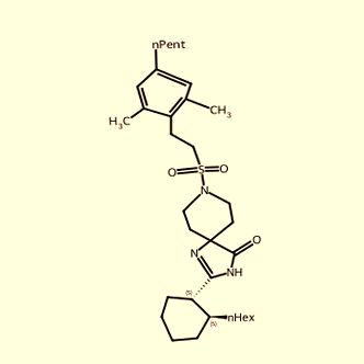 CCCCCC[C@H]1CCCC[C@@H]1C1=NC2(CCN(S(=O)(=O)CCc3c(C)cc(CCCCC)cc3C)CC2)C(=O)N1